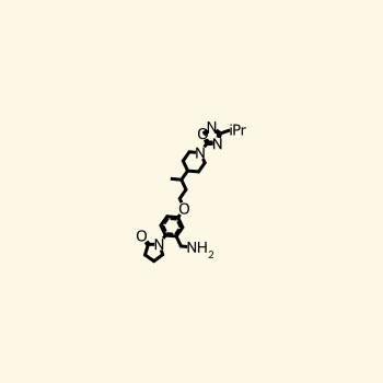 CC(C)c1noc(N2CCC(C(C)CCOc3ccc(N4CCCC4=O)c(CN)c3)CC2)n1